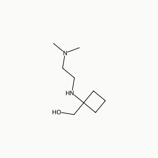 CN(C)CCNC1(CO)CCC1